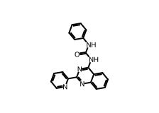 O=C(Nc1ccccc1)Nc1nc(-c2ccccn2)nc2ccccc12